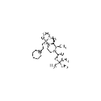 CO[C@@](C)(CCN1CCCCC1)N1CCN(C(=O)OC(C)(C)C)C(C)C1=O